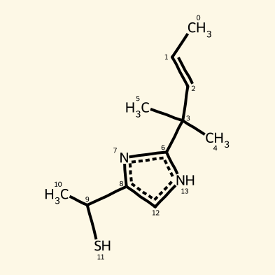 CC=CC(C)(C)c1nc(C(C)S)c[nH]1